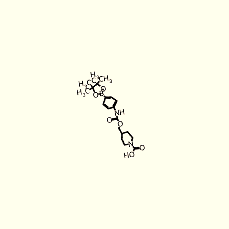 CC1(C)OB(c2ccc(NC(=O)OCC3CCN(C(=O)O)CC3)cc2)OC1(C)C